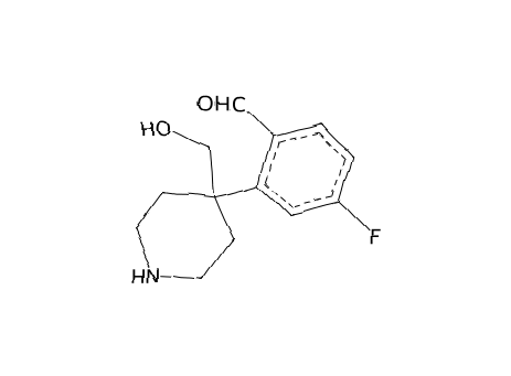 O=Cc1ccc(F)cc1C1(CO)CCNCC1